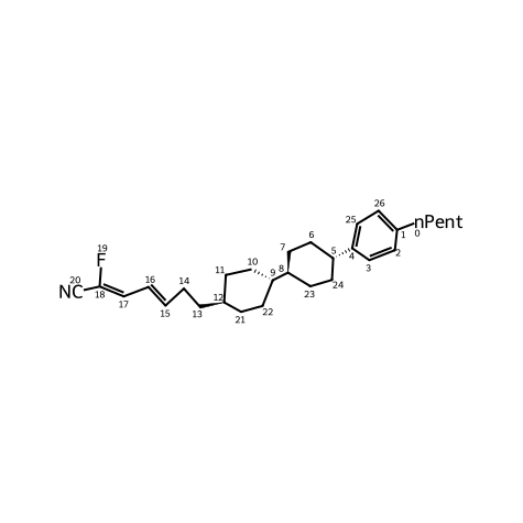 CCCCCc1ccc([C@H]2CC[C@H]([C@H]3CC[C@H](CCC=CC=C(F)C#N)CC3)CC2)cc1